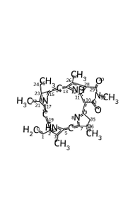 C=Cc1c(C)c2cc3nc(c4c5[nH]c(cc6nc(cc1[nH]2)C(C)=C6CC)c(C)c5C(=O)N(C)C4=O)C[C@@H]3C